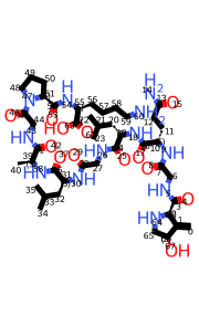 C=C1[C@H](C(=O)NCC(=O)N[C@@H](CCC(N)=O)C(=O)N[C@@H](CC(C)C)C(=O)NCC(=O)N[C@@H](CC(C)C)C(=O)N[C@@H](C)C(=O)NCC(=O)N2CCC[C@H]2C(=O)N[C@@H](CCCCN)C(=O)O)NC[C@H]1O